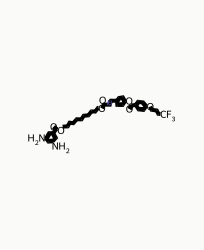 Nc1cc(N)cc(C(=O)OCCCCCCCCCCCOC(=O)/C=C/c2ccc(OC(=O)c3ccc(OCCCC(F)(F)F)cc3)cc2)c1